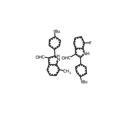 CC(C)(C)c1ccc(-c2[nH]c3c(F)cccc3c2C=O)cc1.Cc1cccc2c(C=O)c(-c3ccc(C(C)(C)C)cc3)[nH]c12